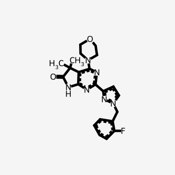 CC1(C)C(=O)Nc2nc(-c3ccn(Cc4ccccc4F)n3)nc(N3CCOCC3)c21